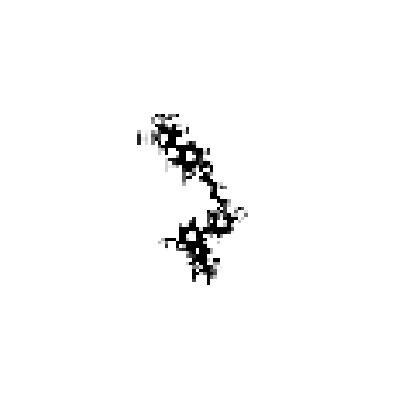 COc1ccc(-c2ccc(=O)n(CCCCOc3ccc(C4=NNC(=O)C4(C)C)c(F)c3F)n2)c2cc(C(F)(F)F)sc12